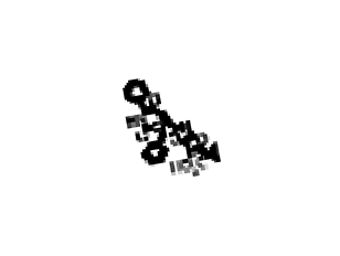 O=C(Nc1c(C#Cc2nc3oc(C4(C(=O)O)CC4)nc3o2)oc2ccccc12)OCc1ccccc1